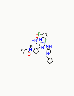 Cc1ccc(N(C(=O)C(F)(F)F)C(C)C)cc1-c1nc(N[C@H]2CCN(Cc3ccccc3)C2)nc2c1CNC(=O)N2c1c(F)cccc1F